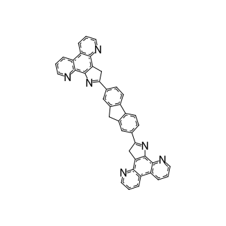 c1cnc2c3c(c4ncccc4c2c1)N=C(c1ccc2c(c1)Cc1cc(C4=Nc5c(c6ncccc6c6cccnc56)C4)ccc1-2)C3